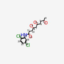 CC(=O)CCC(=O)CC(=O)CCC(=O)Nc1cc(Cl)ccc1Cl